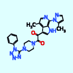 Cc1cnc(-n2nccc2C)c2[nH]cc(C(=O)C(=O)N3CCN(c4nnnn4-c4ccccc4)CC3)c12